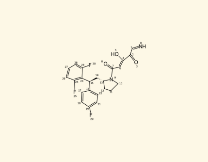 N=CC(=O)/C(O)=C/C(=O)N1CCC[C@@H]1C[C@@H](c1ccc(F)cc1)c1c(F)cccc1F